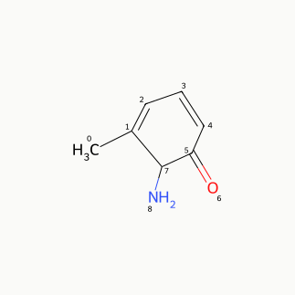 CC1=CC=CC(=O)C1N